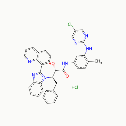 Cc1ccc(NC(=O)[C@@H](O)[C@@H](Cc2ccccc2)n2c(-c3cccc4cccnc34)nc3ccccc32)cc1Nc1ncc(Cl)cn1.Cl